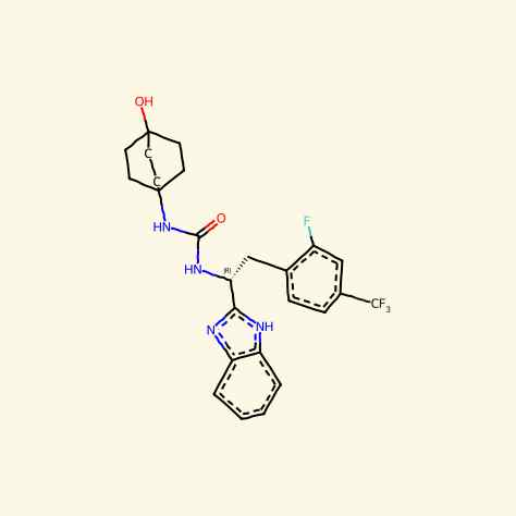 O=C(N[C@H](Cc1ccc(C(F)(F)F)cc1F)c1nc2ccccc2[nH]1)NC12CCC(O)(CC1)CC2